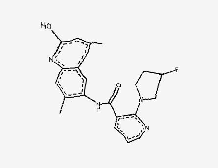 Cc1cc2nc(O)cc(C)c2cc1NC(=O)c1cccnc1N1CCC(F)C1